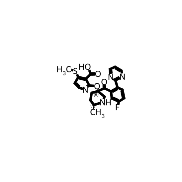 CSc1ccnc(O[C@]2(C(=O)c3cc(F)ccc3-c3ncccn3)CC[C@@H](C)NC2)c1C(=O)O